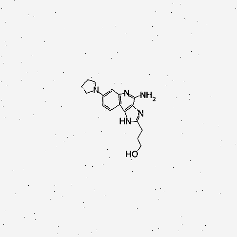 Nc1nc2cc(N3CCCC3)ccc2c2[nH]c(CCCO)nc12